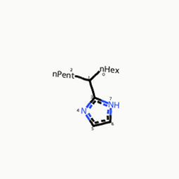 CCCCCCC(CCCCC)c1ncc[nH]1